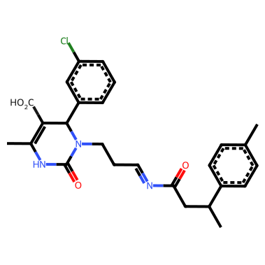 CC1=C(C(=O)O)C(c2cccc(Cl)c2)N(CCC=NC(=O)CC(C)c2ccc(C)cc2)C(=O)N1